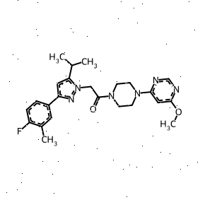 COc1cc(N2CCN(C(=O)Cn3nc(-c4ccc(F)c(C)c4)cc3C(C)C)CC2)ncn1